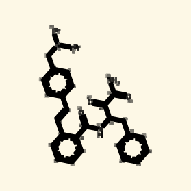 CCCN(Cc1ccc(/C=C/c2ccccc2C(=O)NC(Cc2ccccc2)C(=O)C(N)=O)cc1)C(C)C